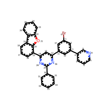 Brc1cc(-c2cccnc2)cc(-c2cc(-c3cccc4c3oc3ccccc34)nc(-c3ccccc3)n2)c1